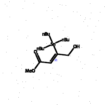 CCC[CH2][Sn]([CH2]CCC)([CH2]CCC)/[C](=C\C(=O)OC)CO